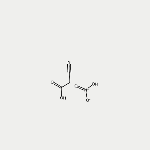 N#CCC(=O)O.O=[N+]([O-])O